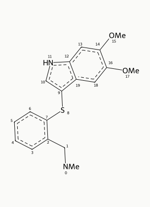 CNCc1ccccc1Sc1c[nH]c2cc(OC)c(OC)cc12